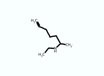 [CH2]C(CCCC=C)NCC